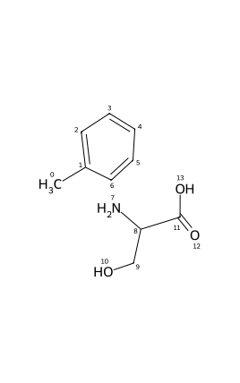 Cc1ccccc1.NC(CO)C(=O)O